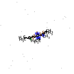 CCc1nc2c(-c3cc4sc(-c5ccc(CCC(C)C)cc5F)cc4s3)c3nsnc3c(-c3cc4c(s3)c3sc(CC(C)C)cc3n4C)c2nc1CC